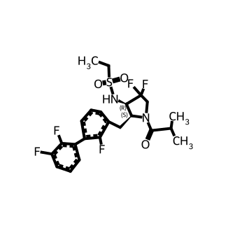 CCS(=O)(=O)N[C@@H]1[C@H](Cc2cccc(-c3cccc(F)c3F)c2F)N(C(=O)C(C)C)CC1(F)F